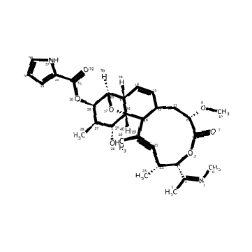 C/N=C(/C)[C@H]1OC(=O)[C@@H](OC)CC2C=C[C@H]3[C@H]4O[C@]2(/C(C)=C/[C@H]1C)[C@@H]3[C@H](O)[C@@H](C)[C@H]4OC(=O)c1ccc[nH]1